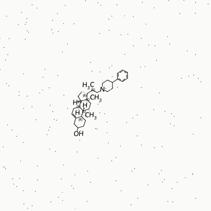 C[C@H](CN1CCC(c2ccccc2)CC1)[C@H]1CC[C@H]2[C@@H]3CC=C4CC(O)CC[C@]4(C)[C@H]3CC[C@]12C